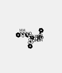 O=C(Nc1ccccc1)Nc1ccn([C@@H]2O[C@H](COP(=O)(O)OP(=O)(O)OCc3ccccc3)[C@H](O)C2OC(=O)Oc2ccccc2)c(=O)n1